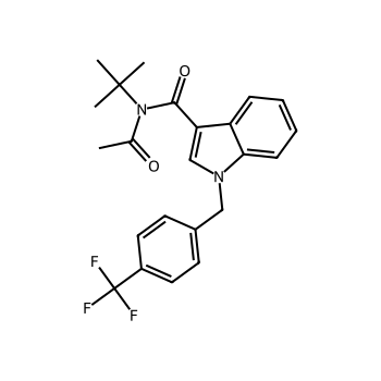 CC(=O)N(C(=O)c1cn(Cc2ccc(C(F)(F)F)cc2)c2ccccc12)C(C)(C)C